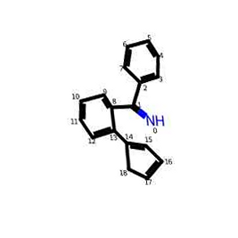 N=C(c1ccccc1)c1ccccc1C1=CC=CC1